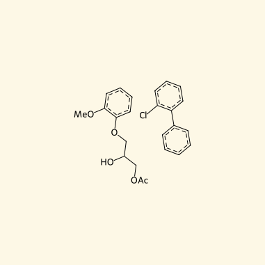 COc1ccccc1OCC(O)COC(C)=O.Clc1ccccc1-c1ccccc1